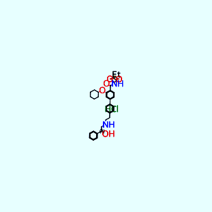 CCS(=O)(=O)NC(=O)c1ccc(-c2ccc(CCNC[C@H](O)c3ccccc3)cc2)cc1OC1CCCCC1.Cl